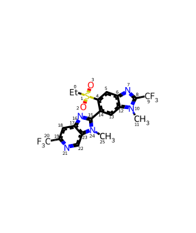 CCS(=O)(=O)c1cc2nc(C(F)(F)F)n(C)c2cc1-c1nc2cc(C(F)(F)F)ncc2n1C